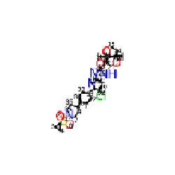 O=S(=O)(C1CC1)N1CCC(c2ccc(-c3nc4nc(O[C@@H]5CO[C@@H]6CCO[C@@H]65)[nH]c4cc3Cl)cc2)CC1